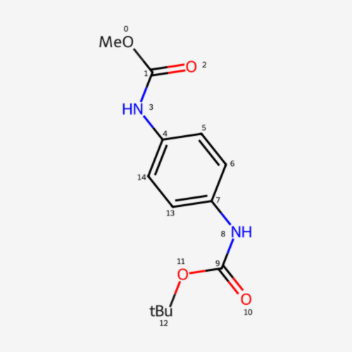 COC(=O)Nc1ccc(NC(=O)OC(C)(C)C)cc1